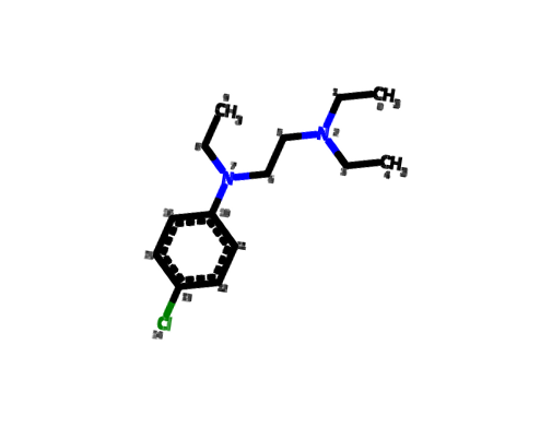 CCN(CC)CCN(CC)c1ccc(Cl)cc1